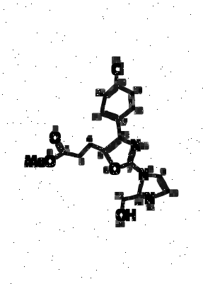 COC(=O)CCc1oc(-n2ccnc2CO)nc1-c1ccc(Cl)cc1